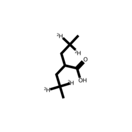 [2H]C([2H])(C)CC(CC([2H])([2H])C)C(=O)O